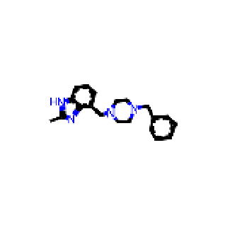 Cc1nc2c(CN3CCN(Cc4ccccc4)CC3)cccc2[nH]1